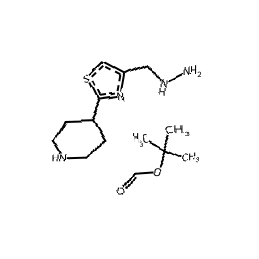 CC(C)(C)OC=O.NNCc1csc(C2CCNCC2)n1